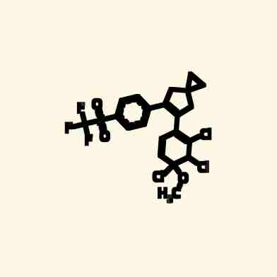 COC1(Cl)C=CC(C2=C(c3ccc(S(=O)(=O)C(F)(F)F)cc3)CC3(CC3)C2)=C(Cl)C1Cl